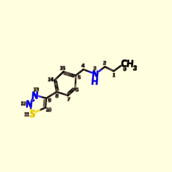 CCCNCc1ccc(-c2csnn2)cc1